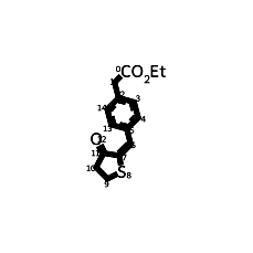 CCOC(=O)Cc1ccc(C=C2SCCC2=O)cc1